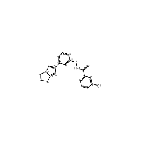 Cc1cccc(C(=O)NCc2cccc(-c3cn4c(n3)CCC4)c2)c1